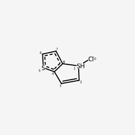 Cl[SH]1C=Cc2sccc21